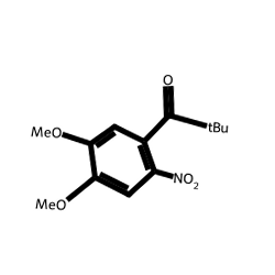 COc1cc(C(=O)C(C)(C)C)c([N+](=O)[O-])cc1OC